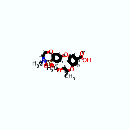 COC[C@H](C)Oc1cc(Oc2ccc3c(c2)OCCN(C)S3(=O)=O)cc(C(=O)O)c1